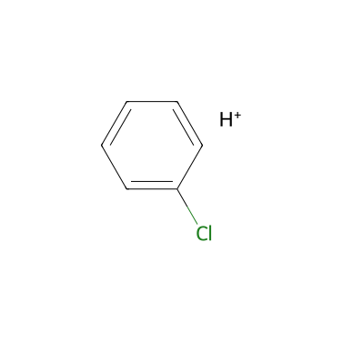 Clc1ccccc1.[H+]